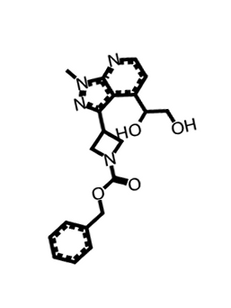 Cn1nc(C2CN(C(=O)OCc3ccccc3)C2)c2c(C(O)CO)ccnc21